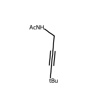 CC(=O)NCC#CC(C)(C)C